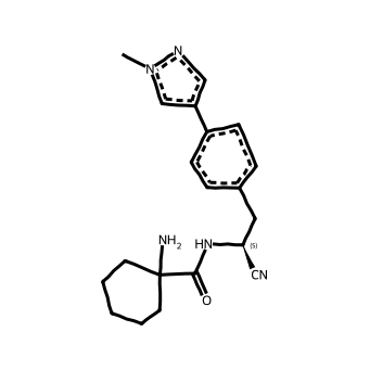 Cn1cc(-c2ccc(C[C@@H](C#N)NC(=O)C3(N)CCCCC3)cc2)cn1